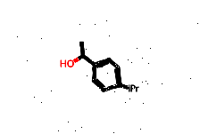 CC(C)c1ccc(C(C)O)cc1